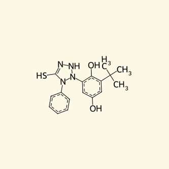 CC(C)(C)c1cc(O)cc(N2NN=C(S)N2c2ccccc2)c1O